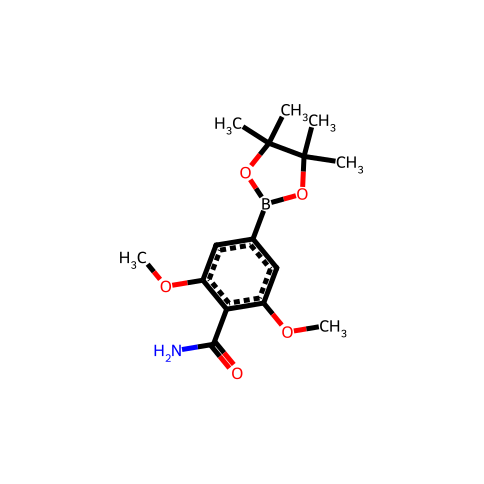 COc1cc(B2OC(C)(C)C(C)(C)O2)cc(OC)c1C(N)=O